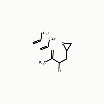 C=C(C(=O)O)C(CC)CC1CO1.C=CC(=O)O.C=CC(=O)O